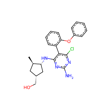 C[C@@H]1C[C@@H](CO)C[C@H]1Nc1nc(N)nc(Cl)c1-c1ccccc1Oc1ccccc1